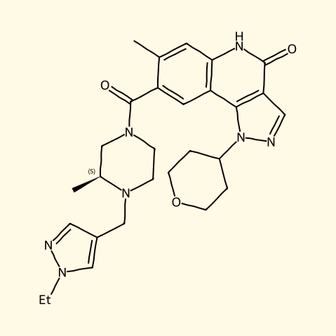 CCn1cc(CN2CCN(C(=O)c3cc4c(cc3C)[nH]c(=O)c3cnn(C5CCOCC5)c34)C[C@@H]2C)cn1